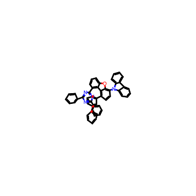 c1ccc(-c2cccc(-c3ccc(-n4c5ccccc5c5ccccc54)c4oc5cccc(-c6nc(-c7ccccc7)nc(-c7ccccc7)n6)c5c34)c2)cc1